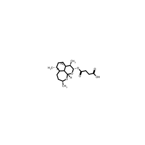 C[C@H]1[C@H](OC(=O)CCC(=O)O)O[C@@H]2O[C@@H](C)CC[C@@H]3C2[C@H]1CC[C@H]3C